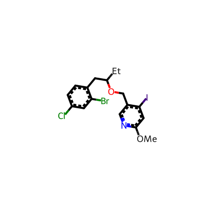 CCC(Cc1ccc(Cl)cc1Br)OCc1cnc(OC)cc1I